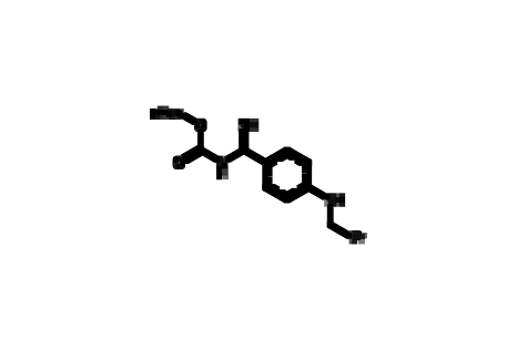 CCCCCCOC(=O)NC(=N)c1ccc(NCC(C)C)cc1